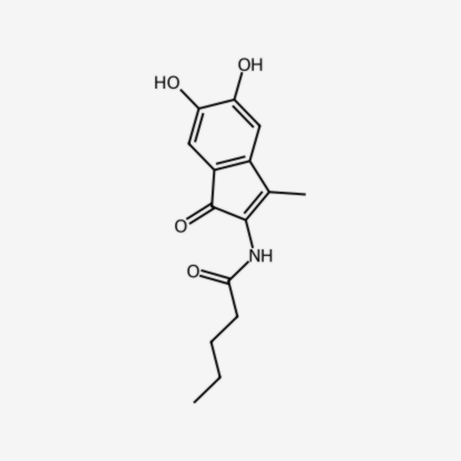 CCCCC(=O)NC1=C(C)c2cc(O)c(O)cc2C1=O